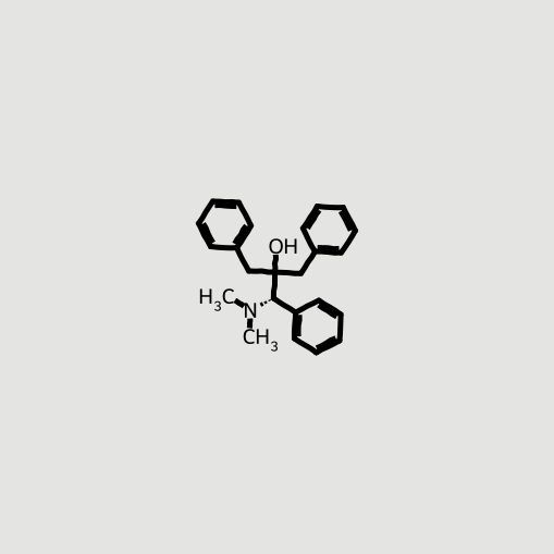 CN(C)[C@@H](c1ccccc1)C(O)(Cc1ccccc1)Cc1ccccc1